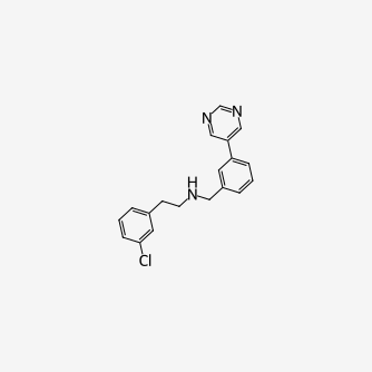 Clc1cccc(CCNCc2cccc(-c3cncnc3)c2)c1